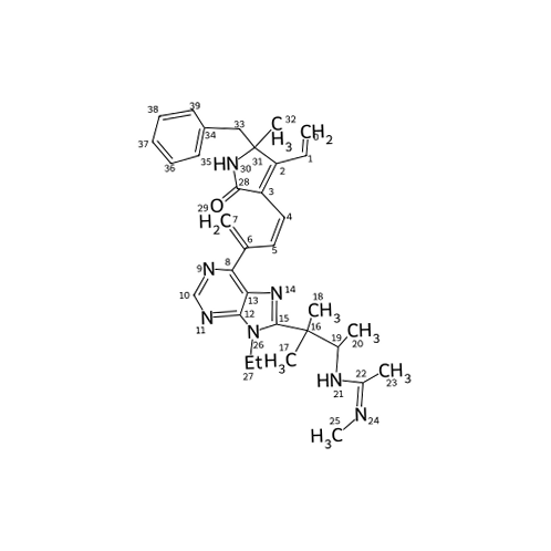 C=CC1=C(/C=C\C(=C)c2ncnc3c2nc(C(C)(C)C(C)N/C(C)=N\C)n3CC)C(=O)NC1(C)Cc1ccccc1